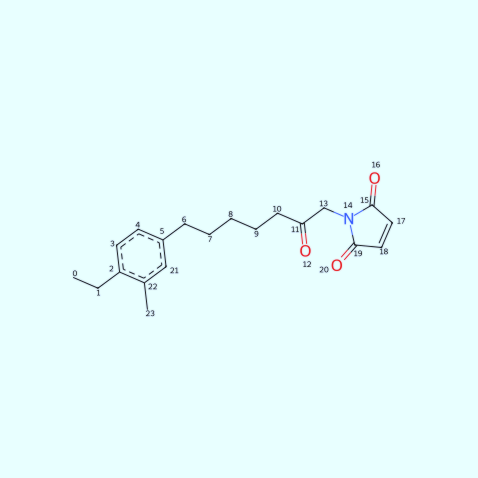 CCc1ccc(CCCCCC(=O)CN2C(=O)C=CC2=O)cc1C